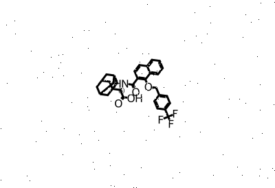 O=C(N[C@H](C(=O)O)C12CC3CC(CC(C3)C1)C2)c1ccc2ccccc2c1OCc1ccc(C(F)(F)F)cc1